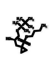 CCCCOS(=O)(=O)C1(C[C@@H](O)CO[Si](C)(C)C(C)(C)C)CC1